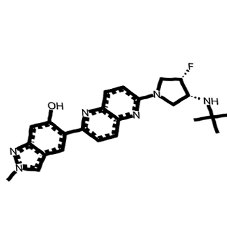 Cn1cc2cc(-c3ccc4nc(N5C[C@H](F)[C@H](NC(C)(C)C)C5)ccc4n3)c(O)cc2n1